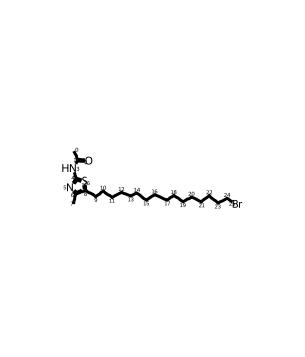 CC(=O)Nc1nc(C)c(CCCCCCCCCCCCCCCCBr)s1